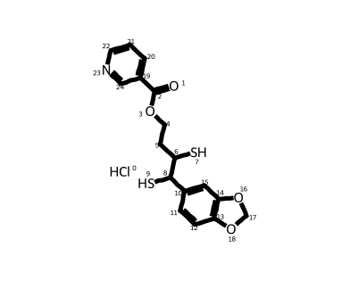 Cl.O=C(OCCC(S)C(S)c1ccc2c(c1)OCO2)c1cccnc1